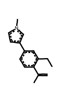 C=C(C)c1ccc(-c2ccn(C)c2)cc1CC